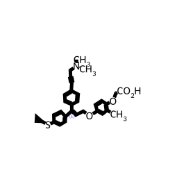 Cc1cc(OC/C=C(\c2ccc(C#CCN(C)C)cc2)c2ccc(SC3CC3)cc2)ccc1OCC(=O)O